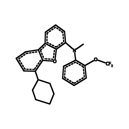 CN(c1ccccc1OC(F)(F)F)c1cccc2c1oc1c(C3CCCCC3)cccc12